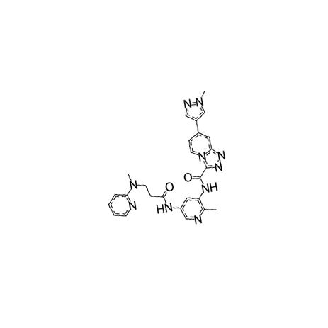 Cc1ncc(NC(=O)CCN(C)c2ccccn2)cc1NC(=O)c1nnc2cc(-c3cnn(C)c3)ccn12